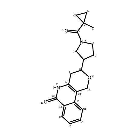 CC1(C(=O)N2CCC(C3Cc4[nH]c(=O)c5ccccc5c4CO3)C2)CC1